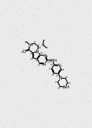 CC(C)[C@H]1CN(C)C(=O)c2cc3cnc(Nc4ccc(N5CCNCC5)cn4)nc3n21